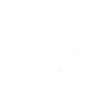 Cc1ccc2c(-c3cccc(N(c4ccccc4)c4ccccc4)c3)c3cc(C)ccc3c(-c3cccc(N(c4ccccc4)c4ccccc4)c3)c2c1